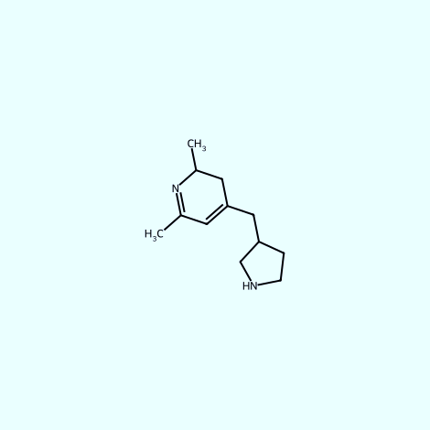 CC1=NC(C)CC(CC2CCNC2)=C1